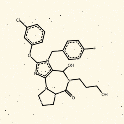 O=C1C2CCCN2c2nc(Oc3cccc(Cl)c3)n(Cc3ccc(F)cc3)c2C(O)N1CCCO